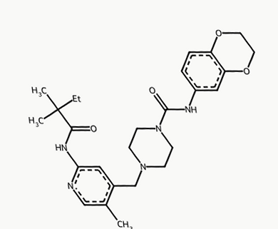 CCC(C)(C)C(=O)Nc1cc(CN2CCN(C(=O)Nc3ccc4c(c3)OCCO4)CC2)c(C)cn1